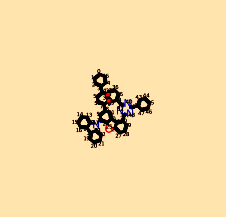 c1ccc(-c2ccc(-c3cc(-n4c5ccccc5c5ccccc54)c4oc5cccc(-c6nc(-c7ccccc7)nc(-c7ccccc7)n6)c5c4c3)cc2)cc1